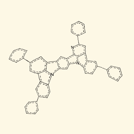 c1ccc(-c2ccc3c(c2)c2cc(-c4ccccc4)cc4c5cc6c7nc(-c8ccccc8)cc8c9cc(-c%10ccccc%10)ccc9n(c6cc5n3c24)c87)cc1